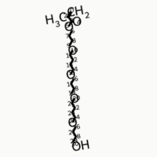 C=C(C)C(=O)OCCCCOCCCCOCCCCOCCCCOCCCCO